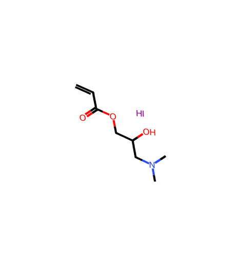 C=CC(=O)OCC(O)CN(C)C.I